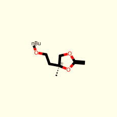 C=C1OC[C@](C)(CCOCCCC)O1